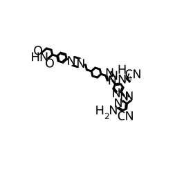 C[C@H](C#N)Nc1cc(-n2ncc3cc(C#N)c(N)nc32)ncc1-n1cc(C2CCC(CCN3CCN(c4ccc(C5CCC(=O)NC5=O)cc4)CC3)CC2)nn1